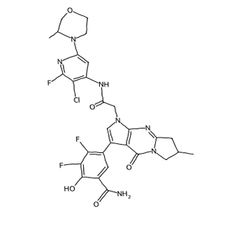 CC1Cc2nc3c(c(-c4cc(C(N)=O)c(O)c(F)c4F)cn3CC(=O)Nc3cc(N4CCOCC4C)nc(F)c3Cl)c(=O)n2C1